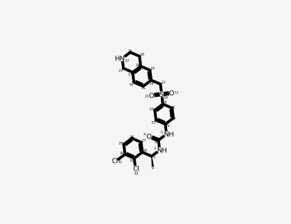 C[C@H](NC(=O)Nc1ccc(S(=O)(=O)Cc2ccc3c(c2)CCNC3)cc1)c1cccc(Cl)c1Cl